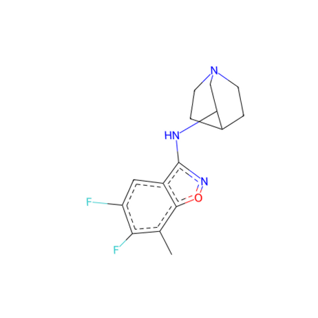 Cc1c(F)c(F)cc2c(NC3CN4CCC3CC4)noc12